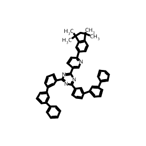 CC1(C)CC(C)(C)c2cc(-c3ccc(-c4nc(-c5cccc(-c6cccc(-c7ccccc7)c6)c5)nc(-c5cccc(-c6cccc(-c7ccccc7)c6)c5)n4)cn3)ccc21